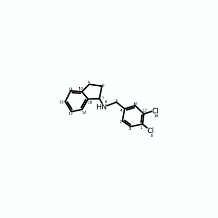 Clc1ccc(CNC2CCc3ccccc32)cc1Cl